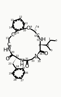 CCC(C)[C@@H]1NC[C@@H](C)Oc2ccccc2CCCNC(=O)[C@@H](Cc2ccccc2)NC(=O)CN(C)C1=O